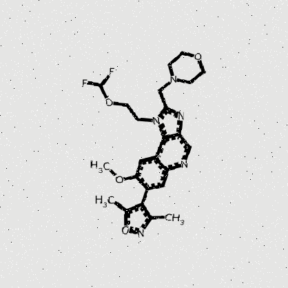 COc1cc2c(cc1-c1c(C)noc1C)ncc1nc(CN3CCOCC3)n(CCOC(F)F)c12